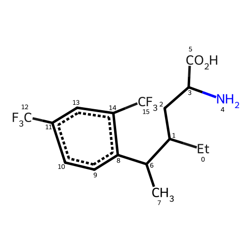 CCC(CC(N)C(=O)O)C(C)c1ccc(C(F)(F)F)cc1C(F)(F)F